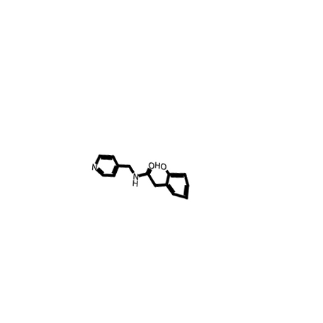 O=C(Cc1ccccc1O)NCc1ccncc1